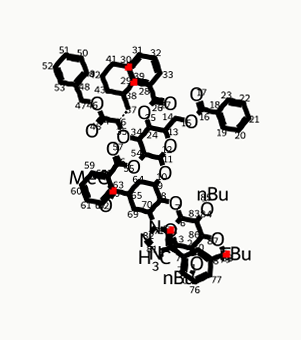 CCCCOC1C(C)OC(OC2C(OC3OC(COC(=O)c4ccccc4)C(OC(=O)c4ccccc4)C(O[C@@H](CC4CCCCC4)C(=O)OCc4ccccc4)C3OC(=O)c3ccccc3)CC(C(=O)OC)CC2n2cc(-c3cccc(F)c3)nn2)C(OCCCC)C1OCCCC